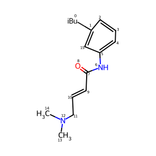 CCC(C)c1cccc(NC(=O)/C=C/CN(C)C)c1